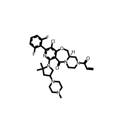 C=CC(=O)N1CCN2C(=O)c3c(N4CC(N5CCN(C)CC5)CC4(C)C)nc(-c4c(F)cccc4F)c(Cl)c3OC[C@H]2C1